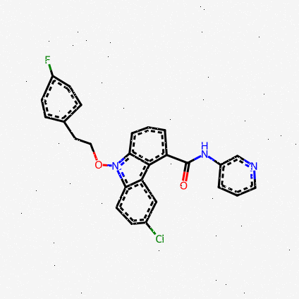 O=C(Nc1cccnc1)c1cccc2c1c1cc(Cl)ccc1n2OCCc1ccc(F)cc1